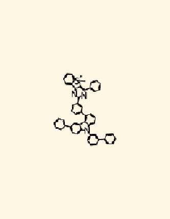 C[Si]1(C)c2ccccc2-c2nc(-c3cccc(-c4cccc5c4c4cc(-c6ccccc6)ccc4n5-c4cccc(-c5ccccc5)c4)c3)nc(-c3ccccc3)c21